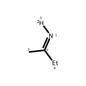 [2H]/N=C(\C)CC